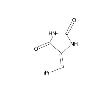 CC(C)C=C1NC(=O)NC1=O